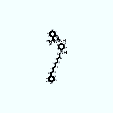 CN(C)c1nc(N[C@H]2CC[C@@H](NCCCCCCCCCc3ccccc3)CC2)nc2ccccc12